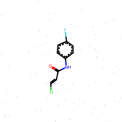 O=C(/C=C/Cl)Nc1ccc(F)cc1